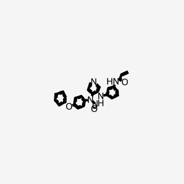 C=CC(=O)Nc1cccc(Nc2cnccc2N(N=O)c2ccc(Oc3ccccc3)cc2)c1